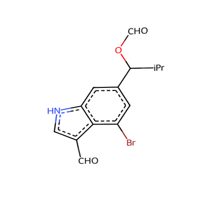 CC(C)C(OC=O)c1cc(Br)c2c(C=O)c[nH]c2c1